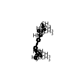 COC(=O)N[C@H](C(=O)N1CCC[C@H]1c1ncc(-c2ccc(C#Cc3ccc4nc([C@@H]5C[C@@]6(CCCO6)CN5C(=O)[C@@H](C)C(C)C)[nH]c4c3)cc2)[nH]1)C(C)C